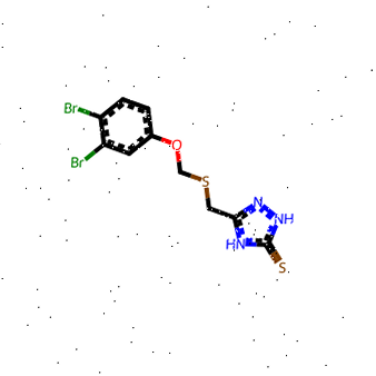 S=c1[nH]nc(CSCOc2ccc(Br)c(Br)c2)[nH]1